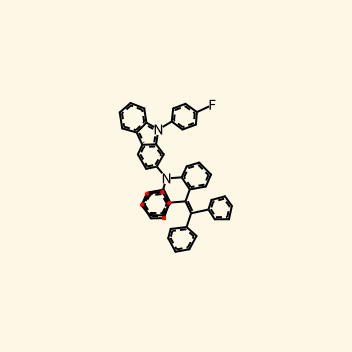 Fc1ccc(-n2c3ccccc3c3ccc(N(c4ccccc4)c4ccccc4C(=C(c4ccccc4)c4ccccc4)c4ccccc4)cc32)cc1